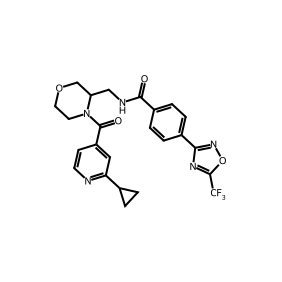 O=C(NCC1COCCN1C(=O)c1ccnc(C2CC2)c1)c1ccc(-c2noc(C(F)(F)F)n2)cc1